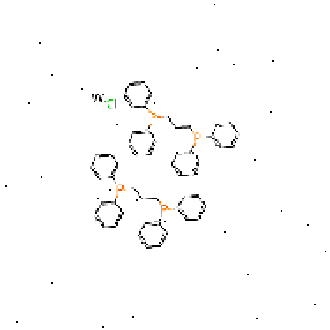 [Cl][W].c1ccc(P(CCCP(c2ccccc2)c2ccccc2)c2ccccc2)cc1.c1ccc(P(CCCP(c2ccccc2)c2ccccc2)c2ccccc2)cc1